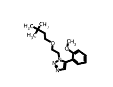 COc1ccccc1-c1cnnn1CCOCCC(C)(C)C